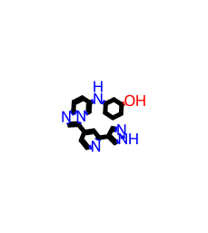 OC1CCCC(Nc2ccc3ncc(-c4ccnc(-c5cn[nH]c5)c4)n3c2)C1